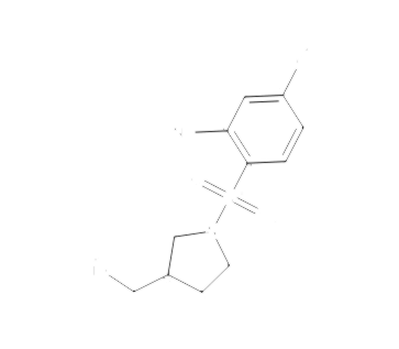 N#Cc1cc(Cl)ccc1S(=O)(=O)N1CCC(CO)C1